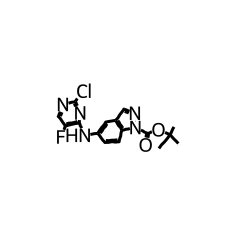 CC(C)(C)OC(=O)n1ncc2cc(Nc3nc(Cl)ncc3F)ccc21